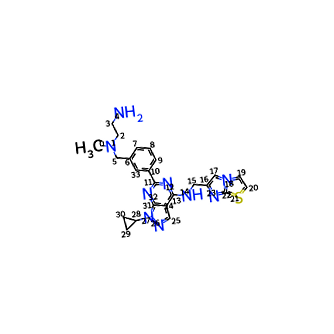 CN(CCN)Cc1cccc(-c2nc(NCc3cn4ccsc4n3)c3cnn(C4CC4)c3n2)c1